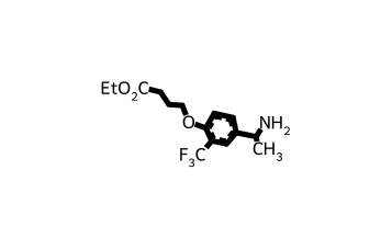 CCOC(=O)CCCOc1ccc(C(C)N)cc1C(F)(F)F